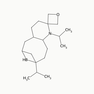 CC(C)N1C2CCC3(C(C)C)BC(CC2CCC12COC2)C3